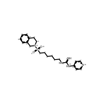 N=C(NCCCCCCS(=O)(=O)N1CCc2ccccc2C1)Nc1ccncc1